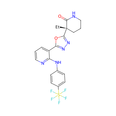 CC[C@]1(c2nnc(-c3cccnc3Nc3ccc(S(F)(F)(F)(F)F)cc3)o2)CCCNC1=O